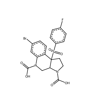 O=C(O)N1CC2N(C(=O)O)CCC2(S(=O)(=O)c2ccc(F)cc2)c2ccc(Br)cc21